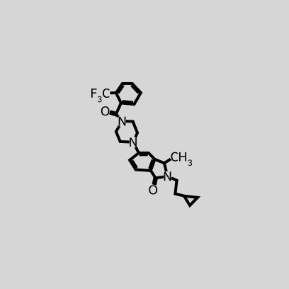 CC1c2cc(N3CCN(C(=O)c4ccccc4C(F)(F)F)CC3)ccc2C(=O)N1CCC1CC1